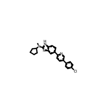 CN(c1nc2cc(-c3ccc(-c4ccc(Cl)cc4)cn3)ccc2[nH]1)C1CCCC1